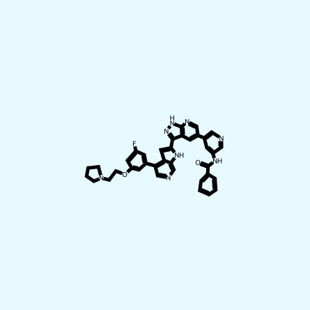 O=C(Nc1cncc(-c2cnc3[nH]nc(-c4cc5c(-c6cc(F)cc(OCCN7CCCC7)c6)cncc5[nH]4)c3c2)c1)c1ccccc1